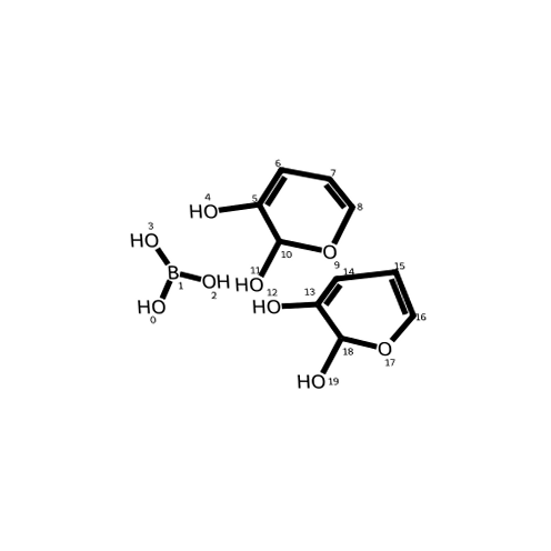 OB(O)O.OC1=CC=COC1O.OC1=CC=COC1O